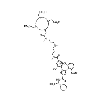 COc1cccc(OC)c1-c1cc(C(=O)NC(C(=O)O)C2CCCCC2)nn1-c1ccc(C(=O)N(C)CCCN(C)CCCN(C)C(=O)CN2CCN(CC(=O)O)CCN(CC(=O)O)CCN(CC(=O)O)CC2)cc1C(C)C